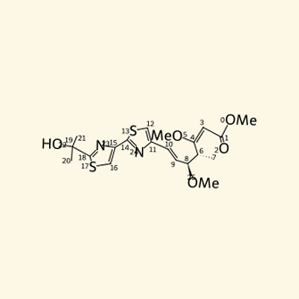 COC(=O)/C=C(/OC)[C@H](C)[C@H](/C=C/c1csc(-c2csc(C(C)(C)O)n2)n1)OC